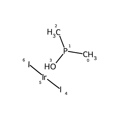 CP(C)O.[I][Ir][I]